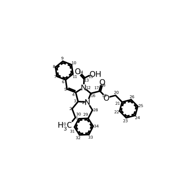 CCCC1/C(=C/c2ccccc2)N(C(=O)O)C(C(=O)OCc2ccccc2)N1Cc1ccccc1